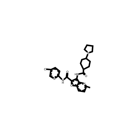 Cc1ccc2oc(C(=O)Nc3ccc(Cl)cn3)c(NC(=O)C3CCC(N4CCCC4)CC3)c2n1